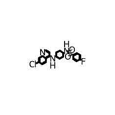 O=S(=O)(N[C@H]1CC[C@@H](Nc2ccnc3cc(Cl)ccc23)CC1)c1ccc(F)cc1